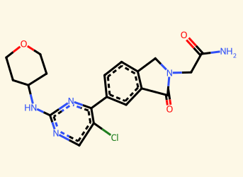 NC(=O)CN1Cc2ccc(-c3nc(NC4CCOCC4)ncc3Cl)cc2C1=O